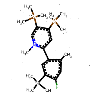 Cc1cc(F)c([Si](C)(C)C)cc1-c1cc(S(C)(C)C)c(S(C)(C)C)c[n+]1C